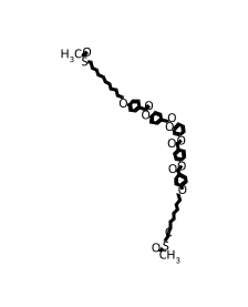 CC(=O)SCCCCCCCCCCCOc1ccc(C(=O)Oc2ccc(C(=O)Oc3cccc(OC(=O)c4ccc(OC(=O)c5ccc(OCCCCCCCCCCCSC(C)=O)cc5)cc4)c3)cc2)cc1